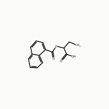 CCC(OC(=O)c1cccc2ccccc12)C(=O)O